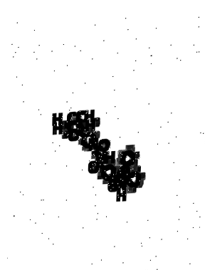 CC(C)(C)NC(=O)C1CCN(C(=O)CNC(=O)c2ccc(S(=O)(=O)Nc3ccccc3Oc3ccccc3)cc2)CC1